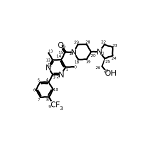 Cc1nc(-c2cccc(C(F)(F)F)c2)nc(C)c1C(=O)N1CCC(N2CCC[C@H]2CO)CC1